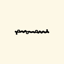 CC(C)CCCCCOCCCCOCCCCOC(C)C